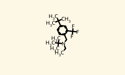 CCN(Cc1ccc(C(C)(C)C)cc1C(F)(F)F)C(C)(C)C